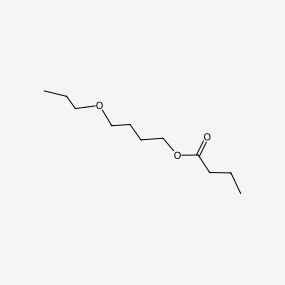 CCCOCCCCOC(=O)CCC